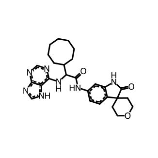 O=C(Nc1ccc2c(c1)NC(=O)C21CCOCC1)C(Nc1ncnc2nc[nH]c12)C1CCCCCCC1